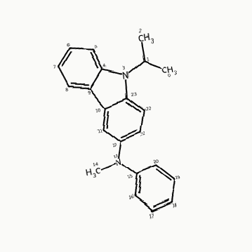 CC(C)n1c2ccccc2c2cc(N(C)c3ccccc3)ccc21